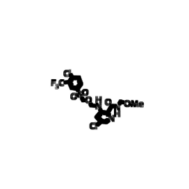 COCNC(=O)c1ncc(Cl)cc1NCOCS(=O)(=O)c1ccc(Cl)c(C(F)(F)F)c1